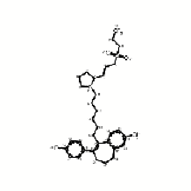 O=S(=O)(CCC[C@@H]1CCCN1CCCCCCC1=C(c2ccc(F)cc2)CCCc2cc(O)ccc21)CCC(F)(F)F